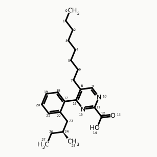 CCCCCCCCc1cnc(C(=O)O)nc1-c1ccccc1C[C@@H](C)CC